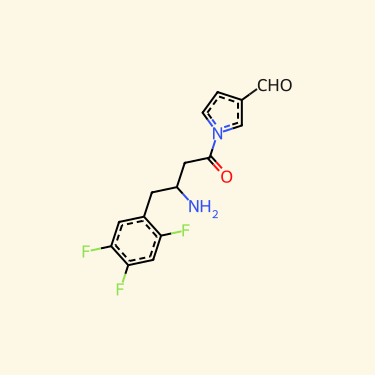 NC(CC(=O)n1ccc(C=O)c1)Cc1cc(F)c(F)cc1F